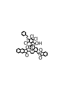 O=C1c2cc3ccccc3cc2C(=O)C1c1ccc2c(CN3C(=O)c4ccccc4C3=O)ccc(N3C(=O)c4c(Cl)c(SCc5ccccc5)c(Cl)c(Cl)c4C3O)c2n1